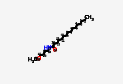 CCCCCCCCCCCCCCCC(=O)NCCCCOC